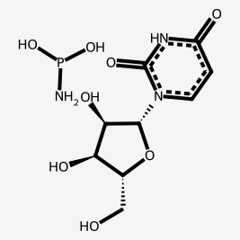 NP(O)O.O=c1ccn([C@@H]2O[C@H](CO)[C@@H](O)[C@H]2O)c(=O)[nH]1